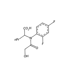 CCCC(C(=O)O)N(C(=O)CO)c1ccc(F)cc1F